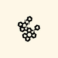 c1ccc(-c2nc3ccccc3nc2-n2c3ccccc3c3c4c5c6c(cccc6n(-c6ccccc6)c5cc32)-c2cccc3cccc-4c23)cc1